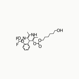 CC1=C(OC(=O)OCCCCCCO)C(c2ccccc2OC(F)F)C([N+](=O)[O-])=C(C)N1